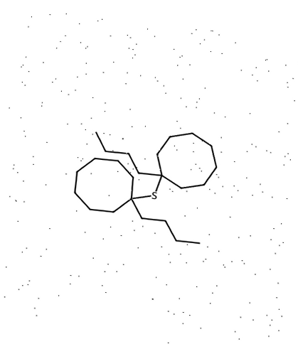 CCCCC1(SC2(CCCC)CCCCCCC2)CCCCCCC1